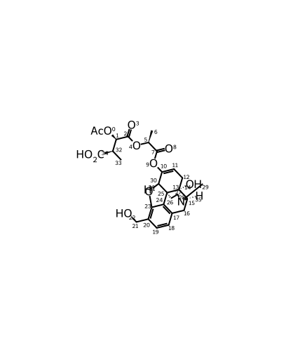 CC(=O)O[C@@H](C(=O)O[C@@H](C)C(=O)OC1=CC[C@@]2(O)[C@H]3Cc4ccc(CO)c5c4[C@@]2(CCN3C)[C@H]1O5)[C@@H](C)C(=O)O